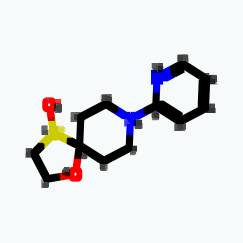 [O-][S+]1CCOC12CCN(c1cc[c]cn1)CC2